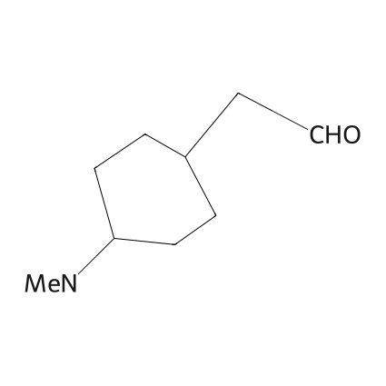 CNC1CCC(CC=O)CC1